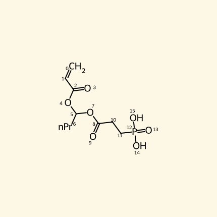 C=CC(=O)OC(CCC)OC(=O)CCP(=O)(O)O